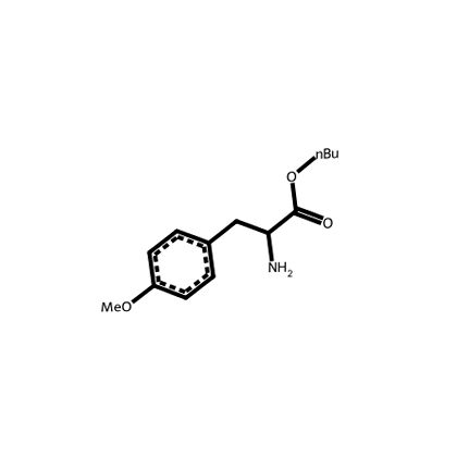 CCCCOC(=O)C(N)Cc1ccc(OC)cc1